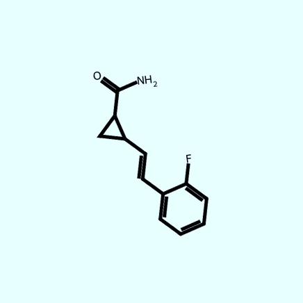 NC(=O)C1CC1/C=C/c1ccccc1F